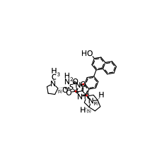 CN1CCC[C@H]1COc1nc(N2[C@@H]3CC[C@H]2CN(C(=O)CS(N)(=O)=O)C3)c2ccc(-c3cc(O)cc4ccccc34)cc2n1